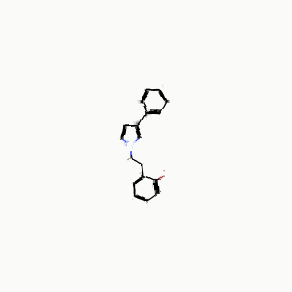 Brc1ccccc1CCn1ccc(-c2ccccc2)c1